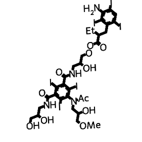 CCC(Cc1c(I)cc(I)c(N)c1I)C(=O)OOCC(O)CNC(=O)c1c(I)c(C(=O)NCC(O)CO)c(I)c(N(CC(O)COC)C(C)=O)c1I